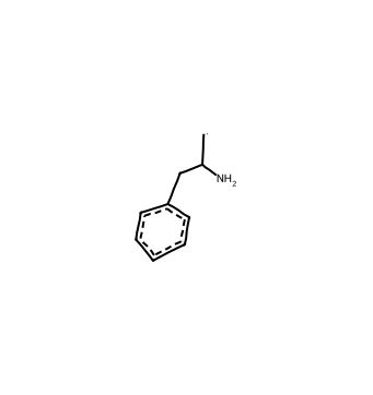 [CH2]C(N)Cc1ccccc1